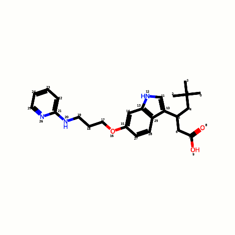 CC(C)(C)CC(CC(=O)O)c1c[nH]c2cc(OCCCNc3ccccn3)ccc12